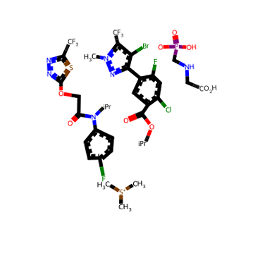 CC(C)N(C(=O)COc1nnc(C(F)(F)F)s1)c1ccc(F)cc1.CC(C)OC(=O)c1cc(-c2nn(C)c(C(F)(F)F)c2Br)c(F)cc1Cl.C[S+](C)C.O=C(O)CNCP(=O)([O-])O